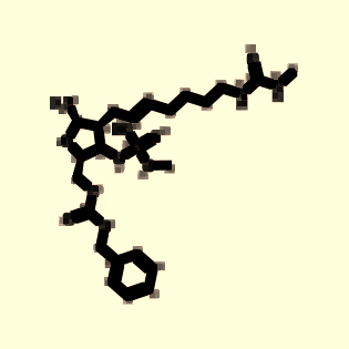 B[C@@H]1O[C@H](COC(=O)OCc2ccccc2)C(OP(O)(=S)OC)[C@@H]1C/C=C/CCCCNC(=O)NC